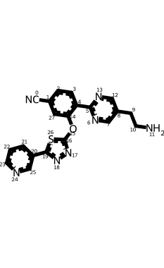 N#Cc1ccc(-c2ncc(CCN)cn2)c(Oc2nnc(-c3cccnc3)s2)c1